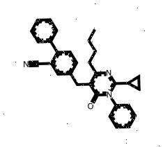 CCCCc1nc(C2CC2)n(-c2ccccc2)c(=O)c1Cc1ccc(-c2ccccc2)c(C#N)c1